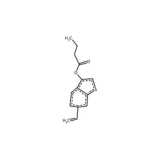 C=Cc1ccc2c(OC(=O)CCC)csc2c1